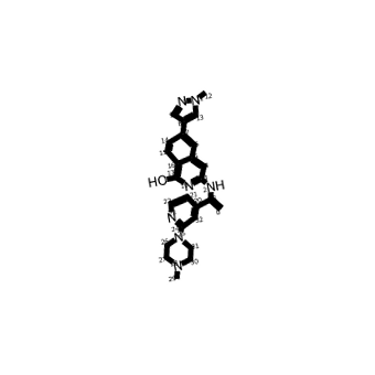 C=C(Nc1cc2cc(-c3cnn(C)c3)ccc2c(O)n1)c1ccnc(N2CCN(C)CC2)c1